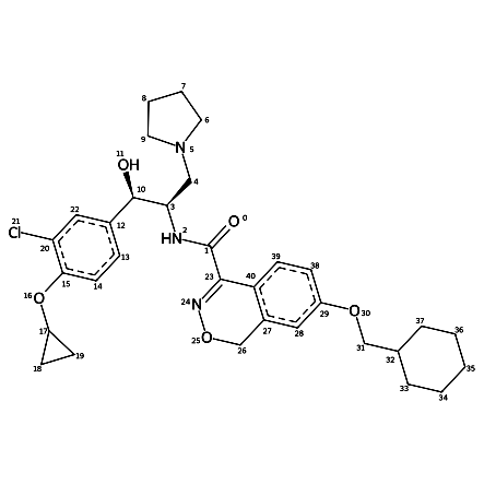 O=C(N[C@H](CN1CCCC1)[C@H](O)c1ccc(OC2CC2)c(Cl)c1)C1=NOCc2cc(OCC3CCCCC3)ccc21